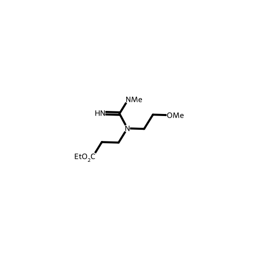 CCOC(=O)CCN(CCOC)C(=N)NC